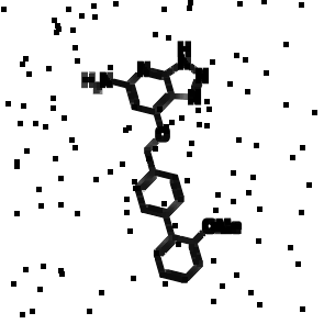 COc1ccccc1-c1ccc(COc2cc(N)nc3[nH]nnc23)cc1